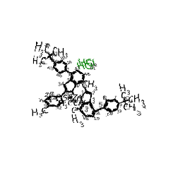 CC1=Cc2c(-c3ccc(C(C)(C)C)cc3)ccc(C)c2[CH]1[Zr]([CH3])([CH3])(=[SiH2])[CH]1C(c2ccc(C)cc2)=Cc2c(-c3ccc(C(C)(C)C)cc3)cccc21.Cl.Cl